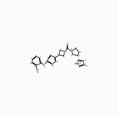 O=C(N1CC(c2ccc(Oc3ccccc3Cl)nc2)C1)N1CC[C@H](c2nnc[nH]2)C1